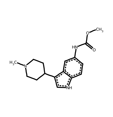 COC(=O)Nc1ccc2[nH]cc(C3CCN(C)CC3)c2c1